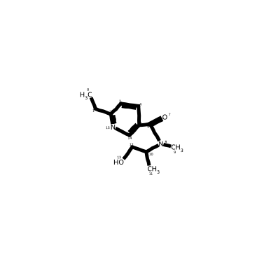 CCc1ccc(C(=O)N(C)C(C)CO)cn1